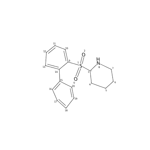 O=S(=O)([C]1CCCCN1)c1ccccc1-c1ccccc1